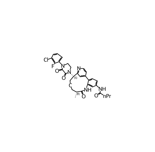 CCCC(=O)Nc1ccc2c(c1)NC(=O)[C@H](C)CCC[C@H](N1CCN(c3cccc(Cl)c3F)C(=O)C1=O)c1cc-2ccn1